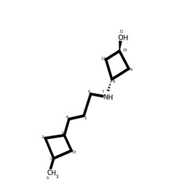 CC1CC(CCCN[C@H]2C[C@H](O)C2)C1